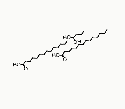 CCCC(O)O.CCCCCCCCCCCCCC(=O)O.CCCCCCCCCCCCCC(=O)O